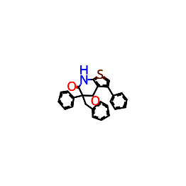 O=C1Nc2scc(-c3ccccc3)c2C(=O)C1(Cc1ccccc1)c1ccccc1